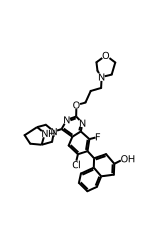 Oc1cc(-c2c(Cl)cc3c(N4CC5CCC(C4)N5)nc(OCCCN4CCOCC4)nc3c2F)c2ccccc2c1